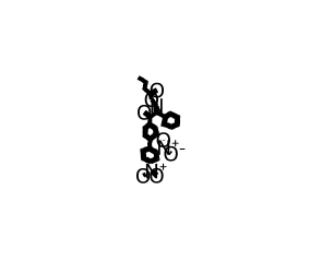 CCCC(=O)O/N=C(\C(=O)c1ccc(-c2ccc([N+](=O)[O-])cc2[N+](=O)[O-])cc1)c1ccccc1